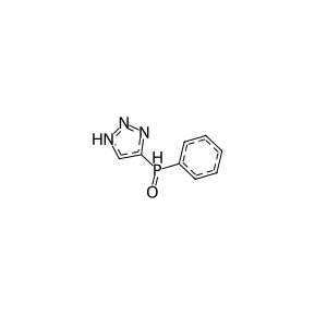 O=[PH](c1ccccc1)c1c[nH]nn1